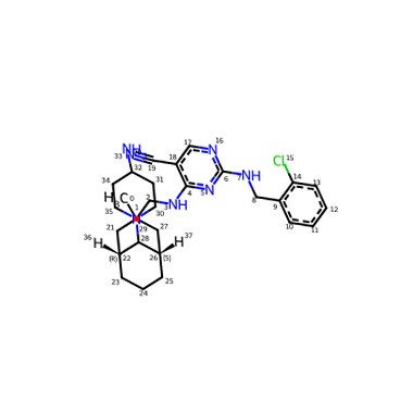 CC1(CNc2nc(NCc3ccccc3Cl)ncc2C#N)C[C@H]2CCC[C@@H](C1)C2N1CCC(N)CC1